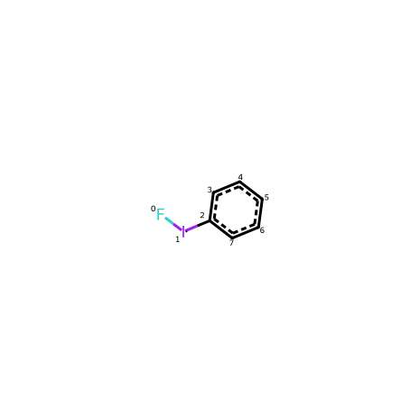 F[I]c1ccccc1